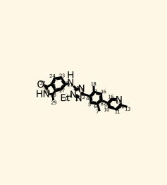 CCn1nc(-c2cc(C)c(-c3ccc(C)nc3)cc2C)nc1Nc1ccc2c(c1)C(C)NC2=O